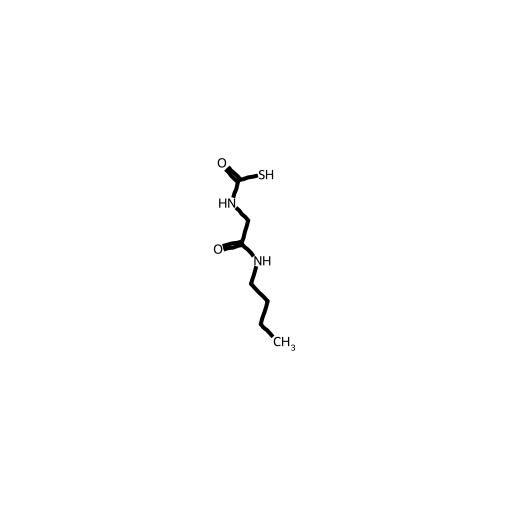 CCCCNC(=O)CNC(=O)S